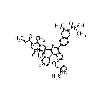 C=CC(=O)N1C[C@H](C)n2nc(-c3nc(-c4ccc5c(c4)CN(C)[C@H](C(=O)N(C)C)C5)c4ccsc4c3-c3c(F)cc(F)cc3OCc3ccnn3C)cc2[C@H]1C